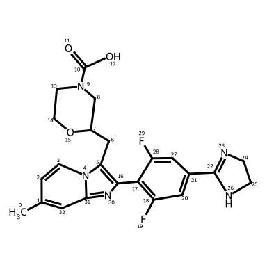 Cc1ccn2c(CC3CN(C(=O)O)CCO3)c(-c3c(F)cc(C4=NCCN4)cc3F)nc2c1